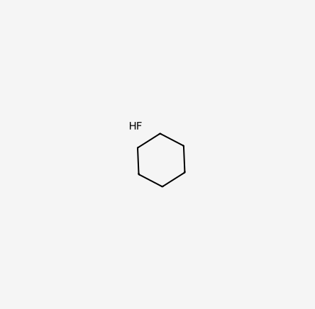 C1CCCCC1.F